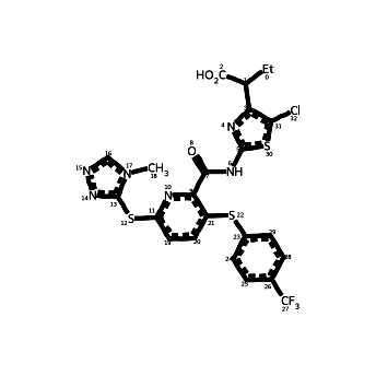 CCC(C(=O)O)c1nc(NC(=O)c2nc(Sc3nncn3C)ccc2Sc2ccc(C(F)(F)F)cc2)sc1Cl